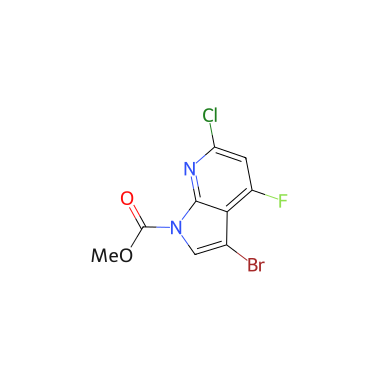 COC(=O)n1cc(Br)c2c(F)cc(Cl)nc21